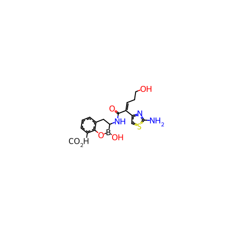 Nc1nc(C(=CCCO)C(=O)NC2Cc3cccc(C(=O)O)c3OB2O)cs1